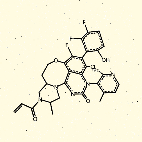 C=CC(=O)N1CC2CCOc3c(F)c(-c4c(O)ccc(F)c4F)c(Cl)c4c3c(nc(=O)n4-c3c(C)ccnc3C(C)C)N2CC1C